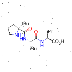 CC[C@H](C)[C@H](NC(=O)[C@]1(C(C)(C)C)CCCN1)C(=O)N[C@H](C(=O)O)C(C)C